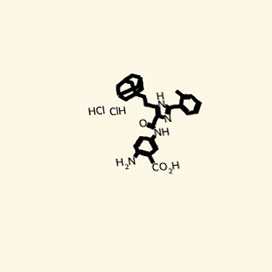 Cc1ccccc1-c1nc(C(=O)Nc2ccc(N)c(C(=O)O)c2)c(CCC23CC4CC(CC(C4)C2)C3)[nH]1.Cl.Cl